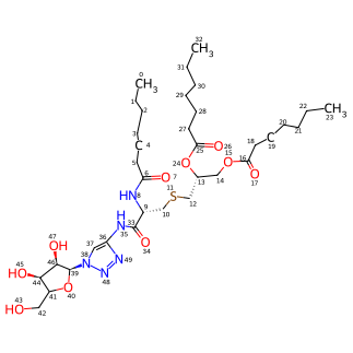 CCCCCCC(=O)N[C@H](CSC[C@@H](COC(=O)CCCCCC)OC(=O)CCCCCC)C(=O)Nc1cn([C@H]2OC(CO)[C@@H](O)[C@H]2O)nn1